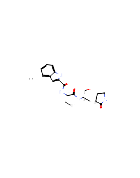 COc1cccc2[nH]c(C(=O)N[C@@H](CC(C)C)C(=O)N[C@@H](CO)C[C@H]3CCNC3=O)cc12